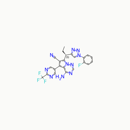 CC[C@@H](c1cn(-c2ccccc2F)nn1)c1c(C#N)c(-c2cnc(C(F)(F)F)nc2)c2c(N)ncnn12